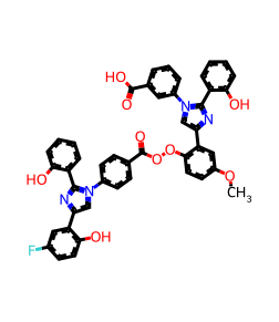 COc1ccc(OOC(=O)c2ccc(-n3cc(-c4cc(F)ccc4O)nc3-c3ccccc3O)cc2)c(-c2cn(-c3cccc(C(=O)O)c3)c(-c3ccccc3O)n2)c1